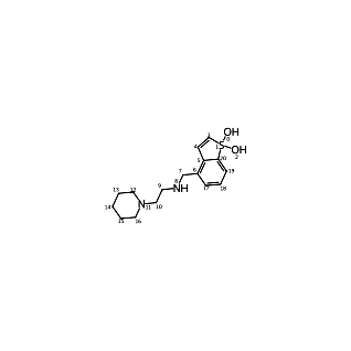 OS1(O)C=Cc2c(CNCCN3CCCCC3)cccc21